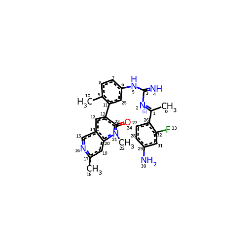 C/C(=N\C(=N)Nc1ccc(C)c(-c2cc3cnc(C)cc3n(C)c2=O)c1)c1ccc(N)cc1F